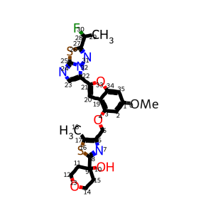 COc1cc(OCc2nc(C3(O)CCOCC3)sc2C)c2cc(-c3cnc4sc(C(C)F)nn34)oc2c1